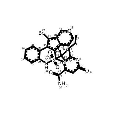 CCCc1nc(=O)cc(C(N)=O)n1Cc1c2ccocc-2c(Br)c1-c1ccccc1NS(=O)(=O)C(F)(F)F